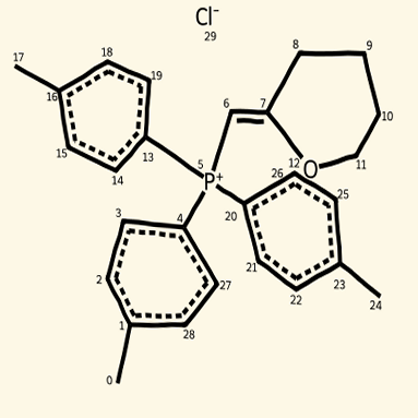 Cc1ccc([P+](C=C2CCCCO2)(c2ccc(C)cc2)c2ccc(C)cc2)cc1.[Cl-]